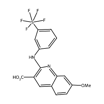 COc1ccc2cc(C(=O)O)c(Nc3cccc(S(F)(F)(F)(F)F)c3)nc2c1